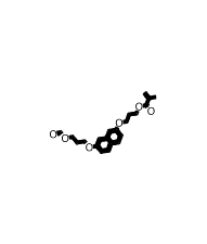 C=C(C)C(=O)OCCCOc1ccc2ccc(OCCCOC=O)cc2c1